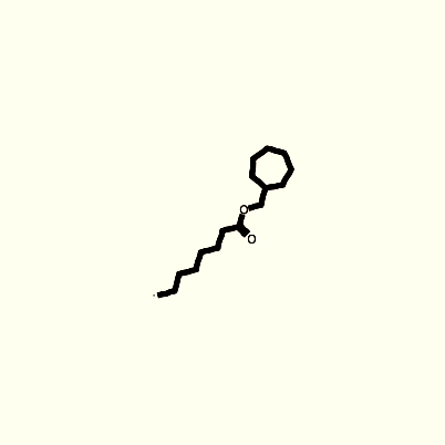 [CH2]CCCCCCC(=O)OCC1CCCCCC1